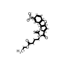 CCOC(=O)CCCN1C(=O)c2cc3oc4ccc([N+](=O)[O-])cc4c3n2C1=S